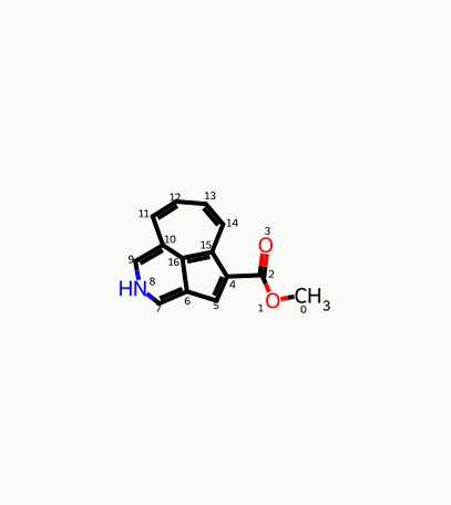 COC(=O)c1cc2c[nH]cc3ccccc1c32